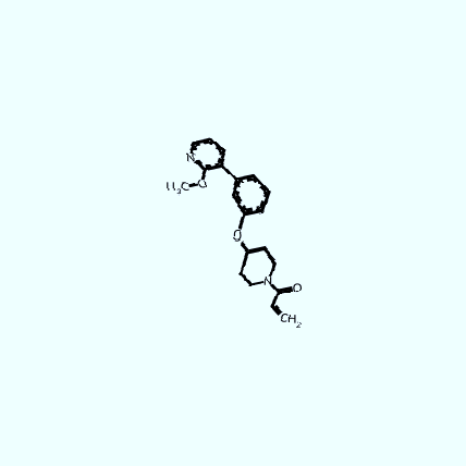 C=CC(=O)N1CCC(Oc2cccc(-c3cccnc3OC)c2)CC1